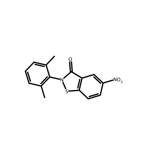 Cc1cccc(C)c1-n1sc2ccc([N+](=O)[O-])cc2c1=O